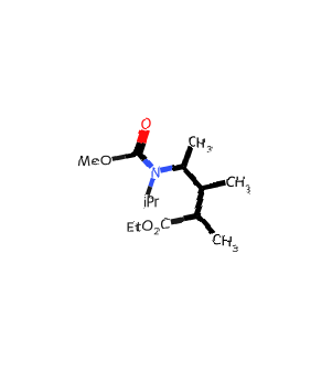 CCOC(=O)C(C)C(C)C(C)N(C(=O)OC)C(C)C